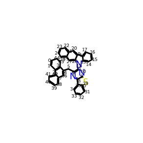 C1=Cc2c(c(Cc3nc4c(nc3-n3c5ccccc5c5cc6ccccc6cc53)sc3ccccc34)cc3ccccc23)CC1